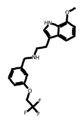 COc1cccc2c(CCNCc3cccc(OCC(F)(F)F)c3)c[nH]c12